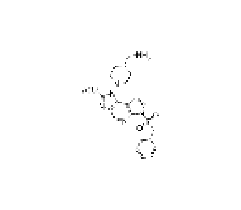 CC(=O)Oc1nc2cnc3c(ccn3S(=O)(=O)Cc3ccccc3)c2n1N1CCC(CN)CC1